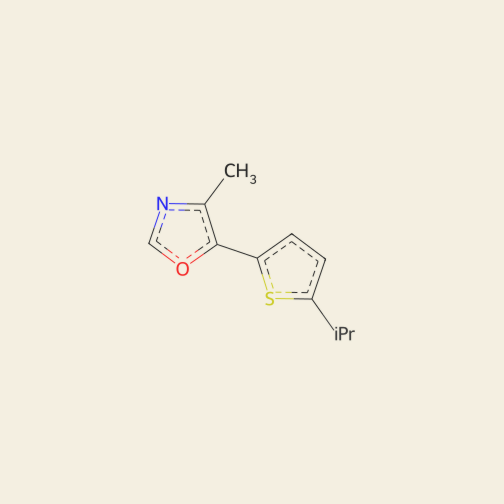 Cc1ncoc1-c1ccc(C(C)C)s1